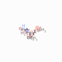 COCC(/C=C/P(O)OC)OC(COC)N(C)/C=C\C(=O)NC=O